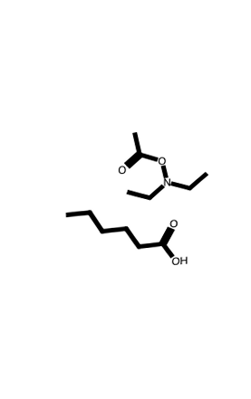 CCCCCC(=O)O.CCN(CC)OC(C)=O